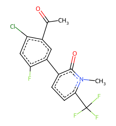 CC(=O)c1cc(-c2ccc(C(F)(F)F)n(C)c2=O)c(F)cc1Cl